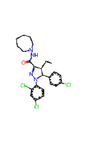 CCC1C(C(=O)NN2CCCCCC2)=NN(c2ccc(Cl)cc2Cl)C1c1ccc(Cl)cc1